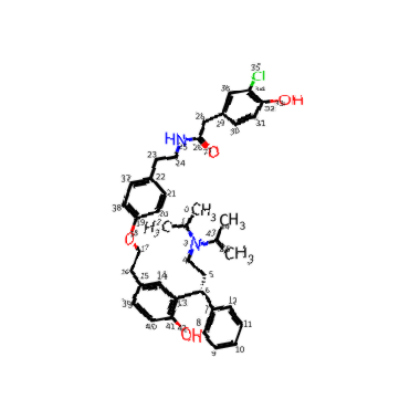 CC(C)N(CC[C@H](c1ccccc1)c1cc(CCOc2ccc(CCNC(=O)Cc3ccc(O)c(Cl)c3)cc2)ccc1O)C(C)C